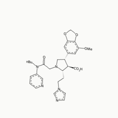 CCCCN(C(=O)CN1C[C@H](c2cc(OC)c3c(c2)OCO3)[C@@H](C(=O)O)[C@@H]1CCn1ccnc1)c1cccnc1